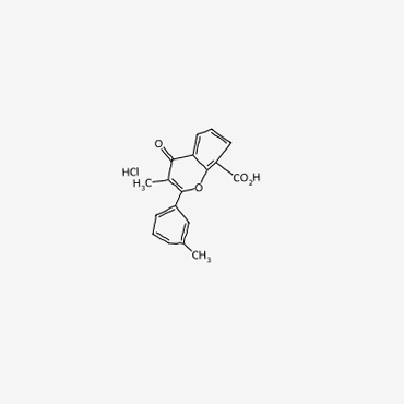 Cc1cccc(-c2oc3c(C(=O)O)cccc3c(=O)c2C)c1.Cl